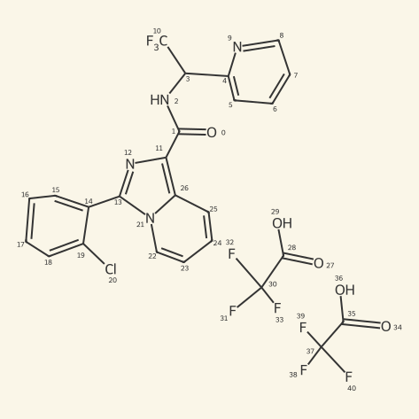 O=C(NC(c1ccccn1)C(F)(F)F)c1nc(-c2ccccc2Cl)n2ccccc12.O=C(O)C(F)(F)F.O=C(O)C(F)(F)F